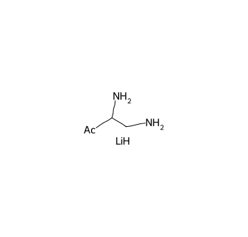 CC(=O)C(N)CN.[LiH]